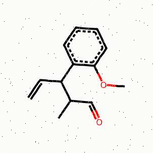 C=CC(c1ccccc1OC)C(C)C=O